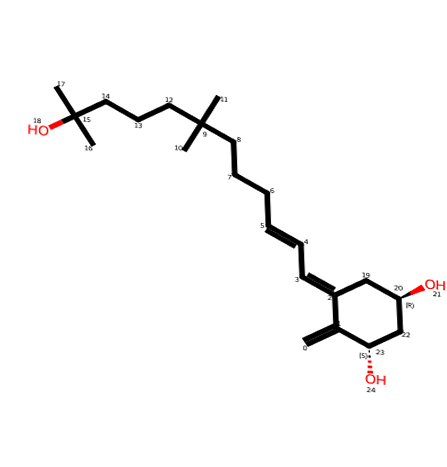 C=C1C(=CC=CCCCC(C)(C)CCCC(C)(C)O)C[C@@H](O)C[C@@H]1O